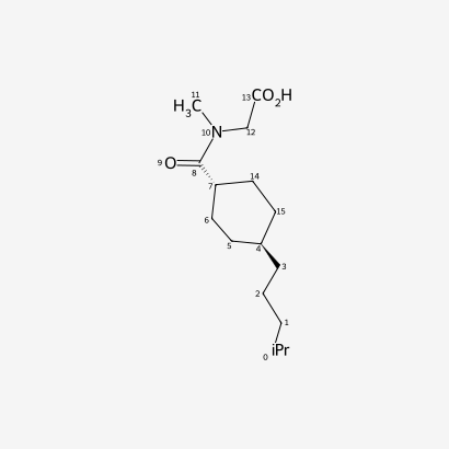 CC(C)CCC[C@H]1CC[C@H](C(=O)N(C)CC(=O)O)CC1